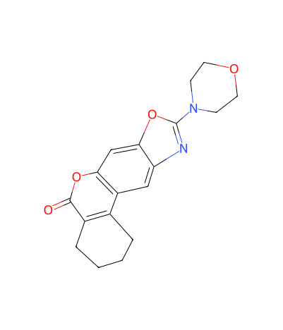 O=c1oc2cc3oc(N4CCOCC4)nc3cc2c2c1CCCC2